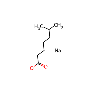 CC(C)CCCCC(=O)[O-].[Na+]